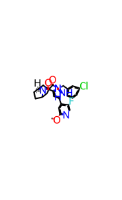 COc1cc(-c2cc(C(=O)N3C4CC[C@H]3CC(C(=O)NCc3cccc(Cl)c3)C4)n[nH]2)c(F)cn1